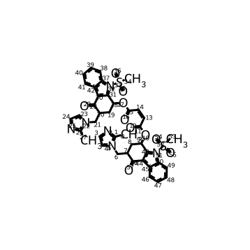 Cc1nccn1CC1CC(OC(=O)/C=C\C(=O)OC2CC(Cn3ccnc3C)C(=O)c3c2n(S(C)(=O)=O)c2ccccc32)c2c(c3ccccc3n2S(C)(=O)=O)C1=O